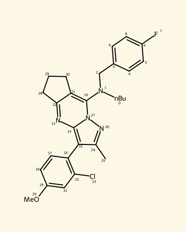 CCCCN(Cc1ccc(F)cc1)c1c2c(nc3c(-c4ccc(OC)cc4Cl)c(C)nn13)CCC2